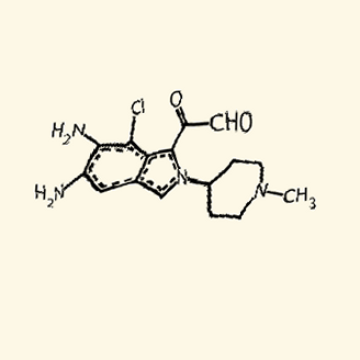 CN1CCC(n2cc3cc(N)c(N)c(Cl)c3c2C(=O)C=O)CC1